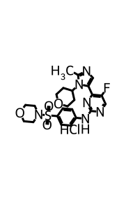 Cc1ncc(-c2nc(Nc3ccc(S(=O)(=O)N4CCOCC4)cc3)ncc2F)n1C1CCOCC1.Cl